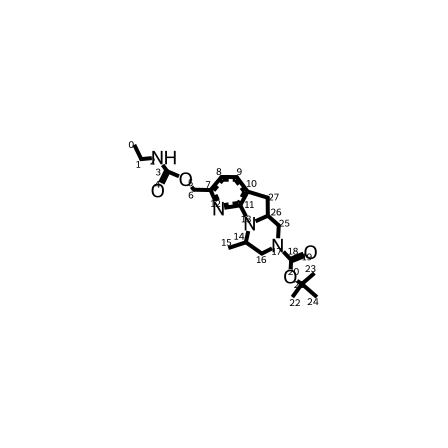 CCNC(=O)OCc1ccc2c(n1)N1C(C)CN(C(=O)OC(C)(C)C)CC1C2